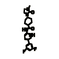 CN1CCN([C@H]2CC[C@H](C(=O)NC3=CC=C(c4cc(F)cc(F)c4)CN3)CC2)C1=O